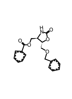 O=C1N[C@H](COC(=O)c2ccccc2)[C@@H](COCc2ccccc2)O1